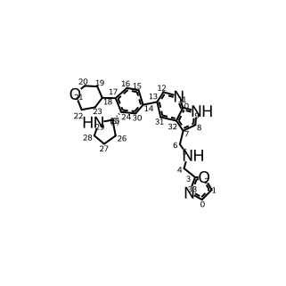 c1coc(CNCc2c[nH]c3ncc(-c4ccc(C5CCOCC5)c([C@@H]5CCCN5)c4)cc23)n1